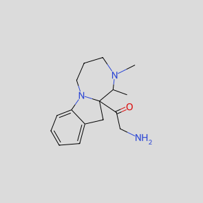 CC1N(C)CCCN2c3ccccc3CC12C(=O)CN